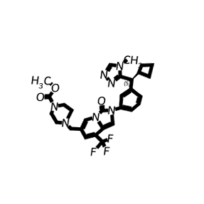 COC(=O)N1CCN(Cc2cc(C(F)(F)F)c3cn(-c4cccc([C@@H](c5nncn5C)C5CCC5)c4)c(=O)n3c2)CC1